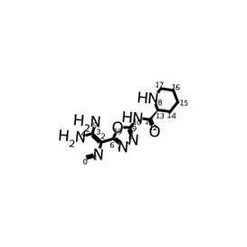 C=NC(=C(N)N)c1nnc(NC(=O)[C@@H]2CCCCN2)o1